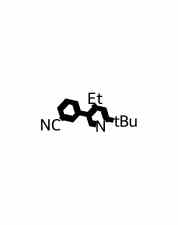 CCc1cc(C(C)(C)C)ncc1-c1cccc(C#N)c1